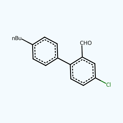 CCCCc1ccc(-c2ccc(Cl)cc2C=O)cc1